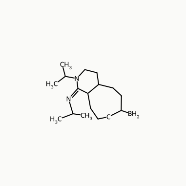 BC1CCCC2/C(=N\C(C)C)N(C(C)C)CCC2CC1